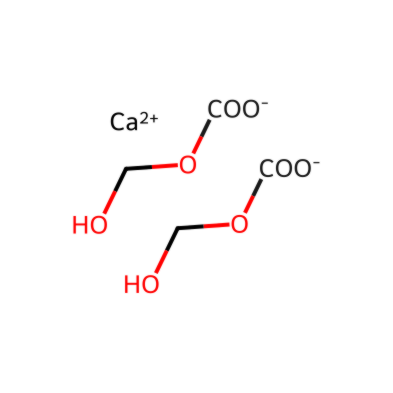 O=C([O-])OCO.O=C([O-])OCO.[Ca+2]